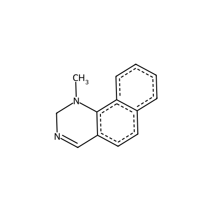 CN1CN=Cc2ccc3ccccc3c21